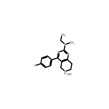 CCN(C)c1nc2c(c(-c3ccc(F)cc3)n1)CNCC2.Cl